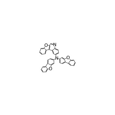 c1ccc2c(c1)oc1cc(N(c3ccc4c(c3)oc3ccccc34)c3ccc4ncc5oc6ccccc6c5c4c3)ccc12